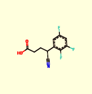 N#CC(CCC(=O)O)c1cc(F)cc(F)c1F